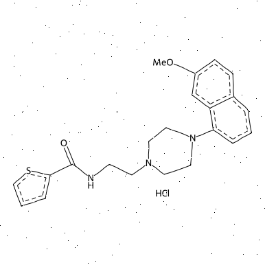 COc1ccc2cccc(N3CCN(CCNC(=O)c4cccs4)CC3)c2c1.Cl